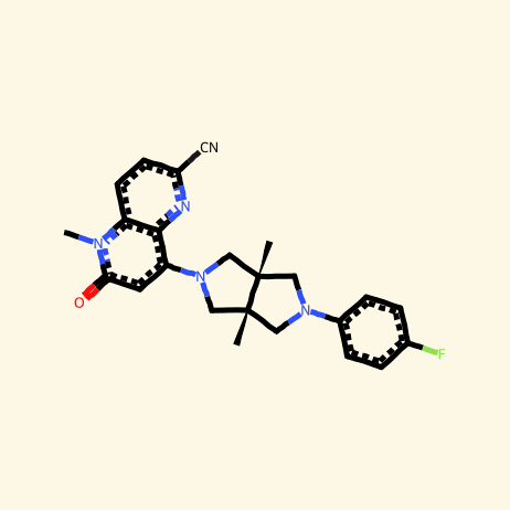 Cn1c(=O)cc(N2C[C@]3(C)CN(c4ccc(F)cc4)C[C@]3(C)C2)c2nc(C#N)ccc21